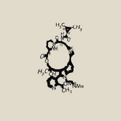 CNCCn1c(-c2cccnc2[C@H](C)OC)c2c3cc(ccc31)-c1csc(n1)C[C@H](NC(=O)[C@H]1[C@H](C)[C@@H]1C)C(=O)N1CCC[C@H](N1)C(=O)OCC(C)(C)C2